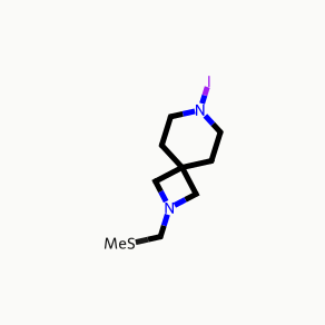 CSCN1CC2(CCN(I)CC2)C1